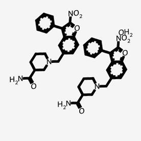 NC(=O)C1CCCN(Cc2ccc3oc([N+](=O)[O-])c(-c4ccccc4)c3c2)C1.NC(=O)C1CCCN(Cc2ccc3oc([N+](=O)[O-])c(-c4ccccc4)c3c2)C1.O